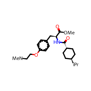 CNCCOc1ccc(C[C@H](NC(=O)[C@H]2CC[C@H](C(C)C)CC2)C(=O)OC)cc1